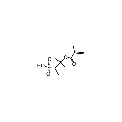 C=C(C)C(=O)OC(C)(C)C(C)S(=O)(=O)O